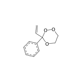 C=CC1(c2ccccc2)OCCOO1